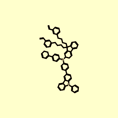 C=Cc1cccc(CCCCC2(CCCCc3cccc(C=C)c3)C3=CC(N(c4ccc(C5=CC=CCC5)cc4)c4ccc(-c5ccc6c(c5)c5ccccc5n6-c5ccccc5)cc4)CC=C3c3ccccc32)c1